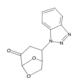 O=C1CC(n2nnc3ccccc32)C2COC1O2